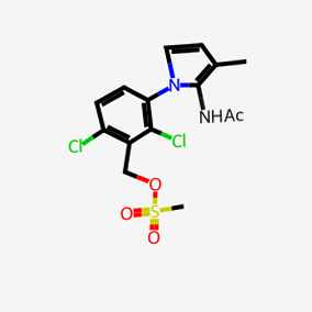 CC(=O)Nc1c(C)ccn1-c1ccc(Cl)c(COS(C)(=O)=O)c1Cl